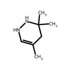 CC1=CNNC(C)(C)C1